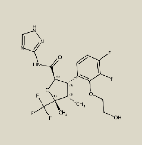 C[C@H]1[C@@H](c2ccc(F)c(F)c2OCCO)[C@H](C(=O)Nc2nc[nH]n2)O[C@@]1(C)C(F)(F)F